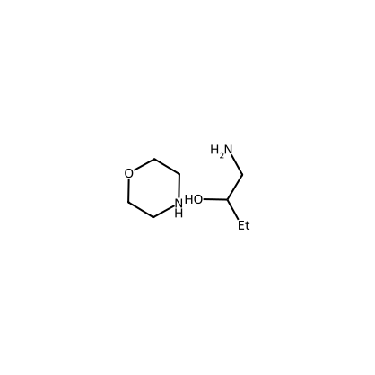 C1COCCN1.CCC(O)CN